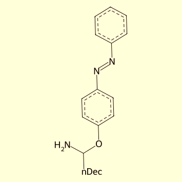 CCCCCCCCCCC(N)Oc1ccc(/N=N/c2ccccc2)cc1